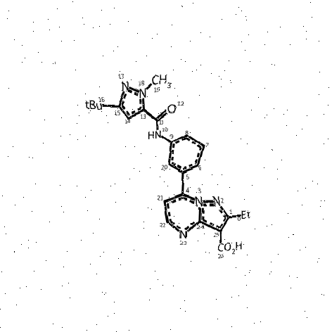 CCc1nn2c(-c3cccc(NC(=O)c4cc(C(C)(C)C)nn4C)c3)ccnc2c1C(=O)O